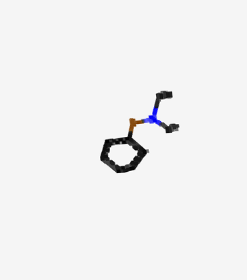 CCCCN(CCC)Sc1[c]cccc1